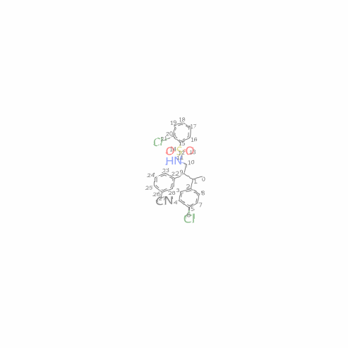 CC(c1ccc(Cl)cc1)C(CNS(=O)(=O)c1ccccc1Cl)c1cccc(C#N)c1